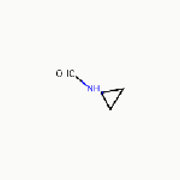 C1CC1.NC=O